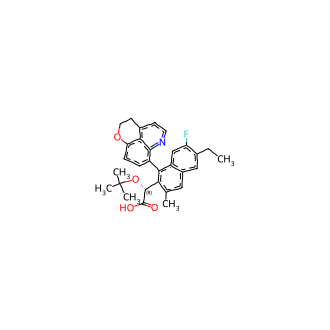 CCc1cc2cc(C)c([C@@H](OC(C)(C)C)C(=O)O)c(-c3ccc4c5c(ccnc35)CCO4)c2cc1F